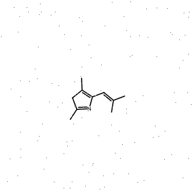 CC(C)=CC1=C(C)CC(C)=N1